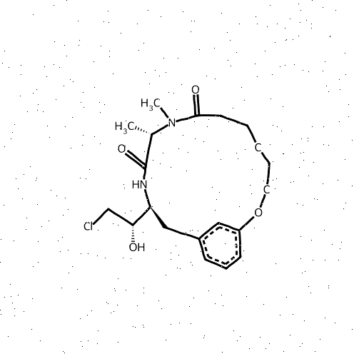 C[C@H]1C(=O)N[C@H]([C@H](O)CCl)Cc2cccc(c2)OCCCCCC(=O)N1C